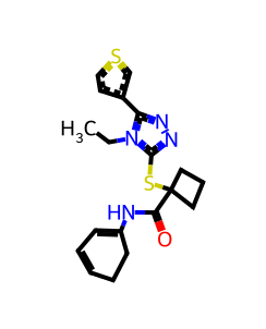 CCn1c(SC2(C(=O)NC3=CC=CCC3)CCC2)nnc1-c1ccsc1